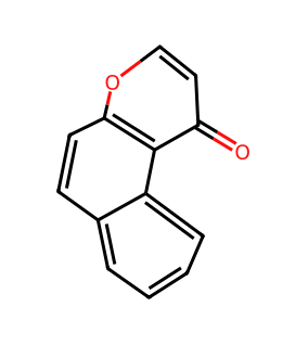 O=c1ccoc2ccc3ccccc3c12